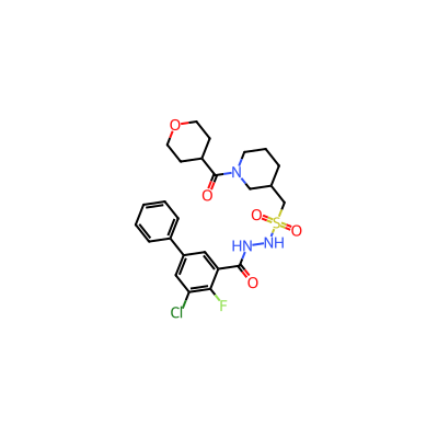 O=C(NNS(=O)(=O)CC1CCCN(C(=O)C2CCOCC2)C1)c1cc(-c2ccccc2)cc(Cl)c1F